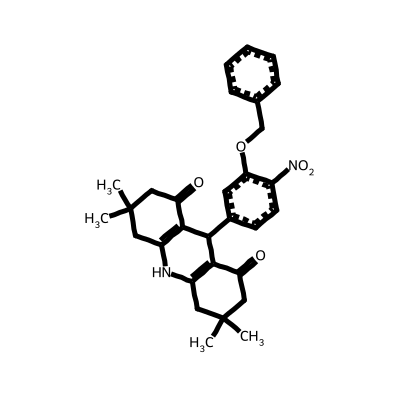 CC1(C)CC(=O)C2=C(C1)NC1=C(C(=O)CC(C)(C)C1)C2c1ccc([N+](=O)[O-])c(OCc2ccccc2)c1